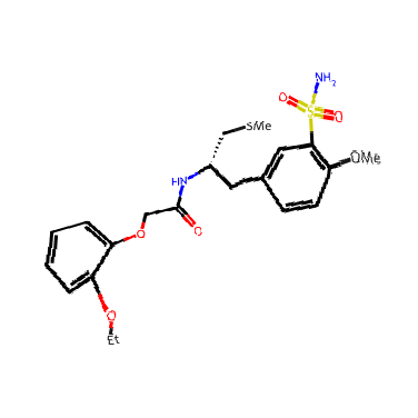 CCOc1ccccc1OCC(=O)N[C@H](CSC)Cc1ccc(OC)c(S(N)(=O)=O)c1